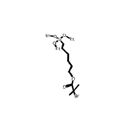 CCO[Si](CCCCCCOC(=O)C(C)(C)Br)(OCC)OCC